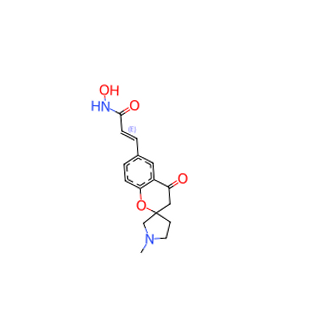 CN1CCC2(CC(=O)c3cc(/C=C/C(=O)NO)ccc3O2)C1